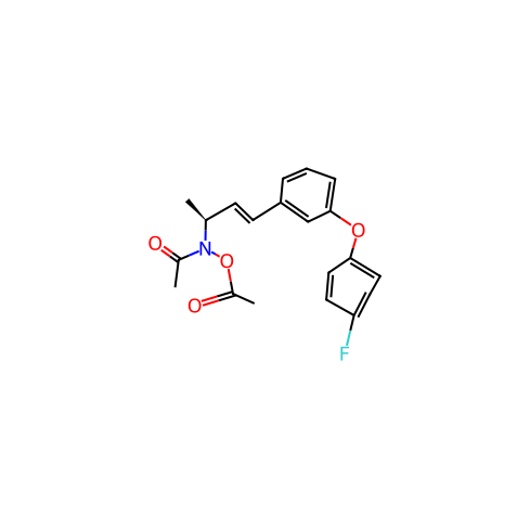 CC(=O)ON(C(C)=O)[C@@H](C)C=Cc1cccc(Oc2ccc(F)cc2)c1